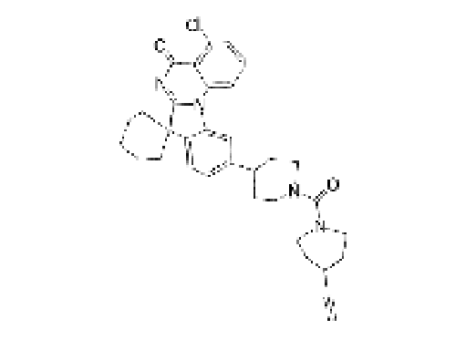 C#CC1CCN(C(=O)N2CCC(c3ccc4c(c3)-n3c(nc(=O)c5c(Cl)cccc53)C43CCCCC3)CC2)CC1